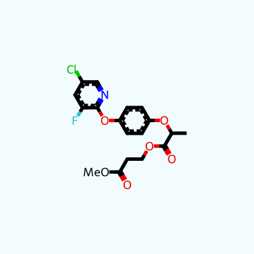 COC(=O)CCOC(=O)C(C)Oc1ccc(Oc2ncc(Cl)cc2F)cc1